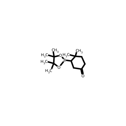 CC1(C)CCC(=O)CC1B1OC(C)(C)C(C)(C)O1